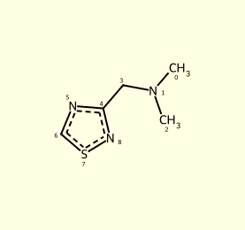 CN(C)Cc1ncsn1